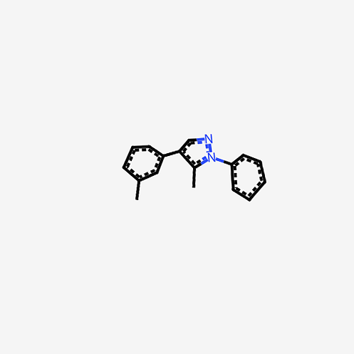 Cc1cccc(-c2cnn(-c3ccccc3)c2C)c1